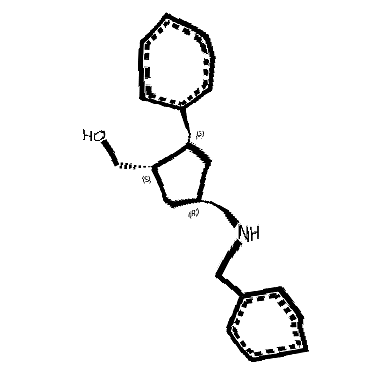 OC[C@H]1C[C@H](NCc2ccccc2)C[C@@H]1c1ccccc1